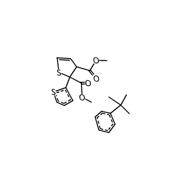 CC(C)(C)c1ccccc1.COC(=O)C1C=CSC1(C(=O)OC)c1cccs1